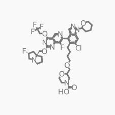 O=C(O)N1CCOC(COCCCCc2c(Cl)cc3c(cnn3C3CCCCO3)c2-c2ncc3c(OCC(F)(F)F)nc(OC[C@@]45CCCN4C[C@H](F)C5)nc3c2F)C1